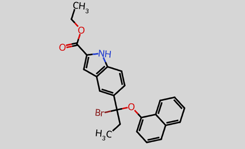 CCOC(=O)c1cc2cc(C(Br)(CC)Oc3cccc4ccccc34)ccc2[nH]1